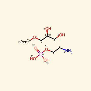 CCCCCOC[C@@H](O)CO.NCCOP(=O)(O)O